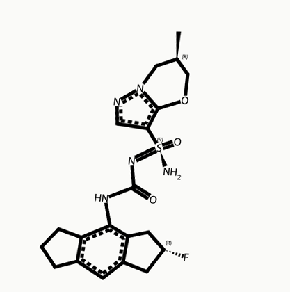 C[C@H]1COc2c([S@](N)(=O)=NC(=O)Nc3c4c(cc5c3C[C@H](F)C5)CCC4)cnn2C1